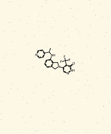 CC(Nc1cccc2c1CN(c1cn[nH]c(=O)c1C(F)(F)F)C2)c1ccncc1